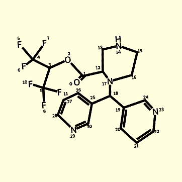 O=C(OC(C(F)(F)F)C(F)(F)F)C1CNCCN1C(c1cccnc1)c1cccnc1